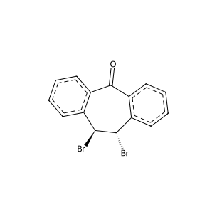 O=C1c2ccccc2[C@H](Br)[C@@H](Br)c2ccccc21